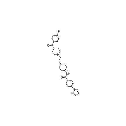 O=C(NC1CCC(CCN2CCC(C(=O)c3ccc(F)cc3)CC2)CC1)c1ccc(-n2cccn2)cc1